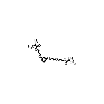 C=C(C)C(=O)OCCCOCCCOc1cccc(OCCCOC(=O)C(=C)C)c1